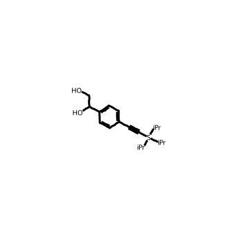 CC(C)S(C#Cc1ccc(C(O)CO)cc1)(C(C)C)C(C)C